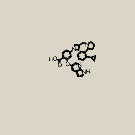 O=C(O)c1ccc(N2CC(CN3CCCC3c3ccccc3C3CC3)C2)cc1Oc1cnc2[nH]ccc2c1